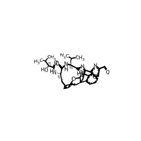 CC(C)[C@H](O)C(=O)N[C@H]1Cc2ccc3c(c2)C2(c4ccccc4NC2O3)c2oc(nc2-c2nc(C=O)co2)[C@H](C(C)C)NC1=O